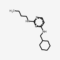 CCCCNc1nccc(NCC2CCCCC2)n1